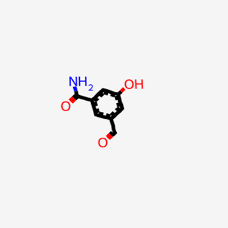 NC(=O)c1cc(O)cc(C=O)c1